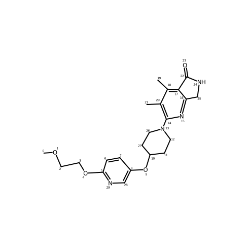 COCCOc1ccc(OC2CCN(c3nc4c(c(C)c3C)C(=O)NC4)CC2)cn1